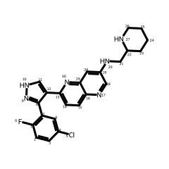 Fc1ccc(Cl)cc1-c1n[nH]cc1-c1ccc2ncc(NCC3CCCCN3)cc2n1